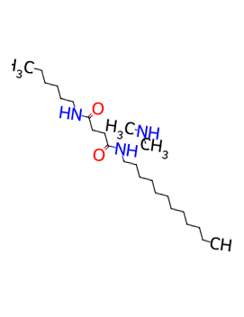 CCCCCCCCCCCCNC(=O)CCC(=O)NCCCCCC.CNC